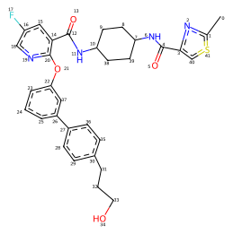 Cc1nc(C(=O)NC2CCC(NC(=O)c3cc(F)cnc3Oc3cccc(-c4ccc(CCCO)cc4)c3)CC2)cs1